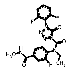 CCN(C(=O)n1nnn(-c2c(F)cccc2F)c1=O)c1ccc(C(=O)NC)cc1F